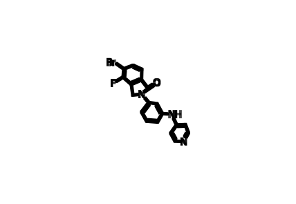 O=C1c2ccc(Br)c(F)c2CN1c1cccc(Nc2ccncc2)c1